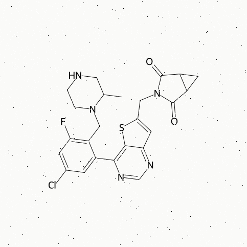 CC1CNCCN1Cc1c(F)cc(Cl)cc1-c1ncnc2cc(CN3C(=O)C4CC4C3=O)sc12